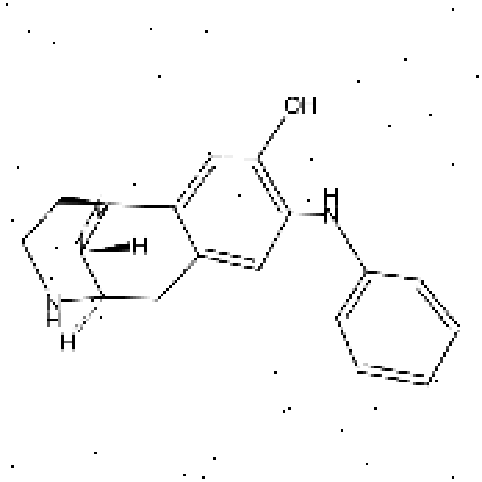 Oc1cc2c(cc1Nc1ccccc1)C[C@H]1NCC[C@@]23CCCC[C@@H]13